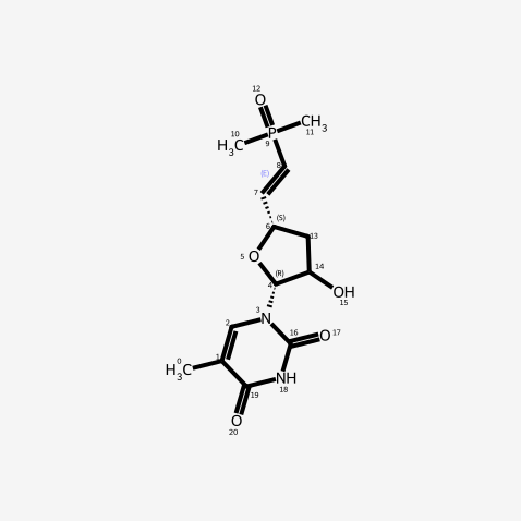 Cc1cn([C@@H]2O[C@H](/C=C/P(C)(C)=O)CC2O)c(=O)[nH]c1=O